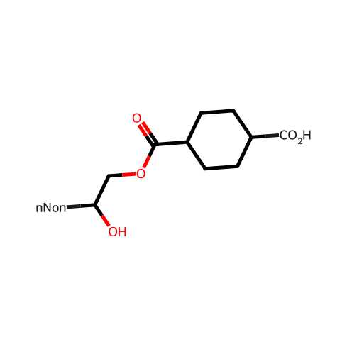 CCCCCCCCCC(O)COC(=O)C1CCC(C(=O)O)CC1